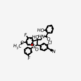 COc1ccc(C(O)(CNC(=O)c2ccccc2O)C(c2ccc(C#N)c(Cl)c2)S(=O)(=O)c2cccc(F)c2)cc1F